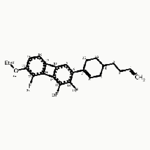 C=CCCC1CC=C(c2cc3c(c(F)c2F)-c2c-3ccc(OCC)c2F)CC1